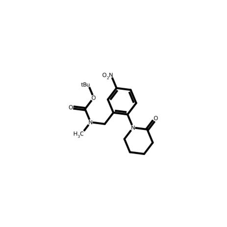 CN(Cc1cc([N+](=O)[O-])ccc1N1CCCCC1=O)C(=O)OC(C)(C)C